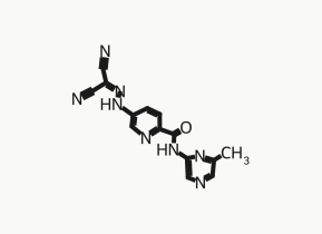 Cc1cncc(NC(=O)c2ccc(NN=C(C#N)C#N)cn2)n1